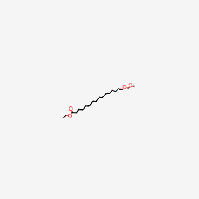 CCOC(=O)CCCCCCCCCCCCCCCOCOC